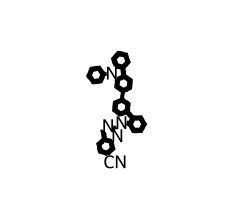 N#Cc1ccc2cnc(-n3c4ccccc4c4cc(-c5ccc6c7ccccc7n(-c7ccccc7)c6c5)ccc43)nc2c1